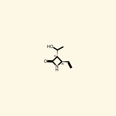 C=C[C@H]1NC(=O)[C@@H]1C(C)O